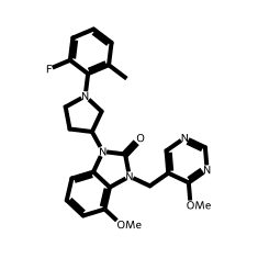 COc1ncncc1Cn1c(=O)n(C2CCN(c3c(C)cccc3F)C2)c2cccc(OC)c21